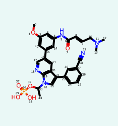 COc1cc(NC(=O)C=CCN(C)C)cc(-c2cnc3c(c2)c(-c2cccc(C#N)c2)cn3C(C)OP(=O)(O)O)c1